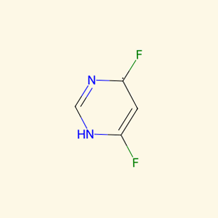 F[C]1C=C(F)NC=N1